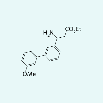 CCOC(=O)CC(N)c1cccc(-c2cccc(OC)c2)c1